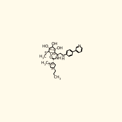 CCC[C@@H]1C[C@@H](C(=O)N[C@H](CNc2ccc(-c3cccnc3)cc2)[C@H]2OC(SC)[C@H](O)C(O)[C@@H]2O)N(C)C1